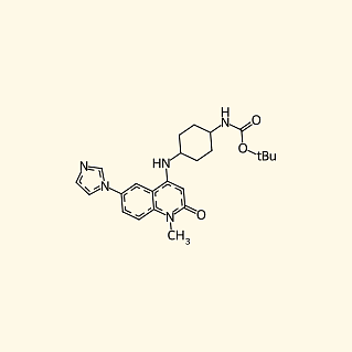 Cn1c(=O)cc(NC2CCC(NC(=O)OC(C)(C)C)CC2)c2cc(-n3ccnc3)ccc21